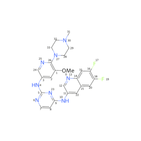 COc1cc(Nc2nccc(Nc3cnc4cc(F)c(F)cc4c3)n2)cnc1N1CCN(C)CC1